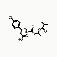 CC(OC(=O)NC[C@H](CC(=O)O)c1ccc(Cl)cc1)OC(=O)C(C)C